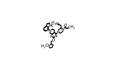 C=CC(=O)N1CCN(c2nc(OCC3CCCN3C)nc3c2CCN(c2cccc4ccn(C)c24)C3)CC1CC#N